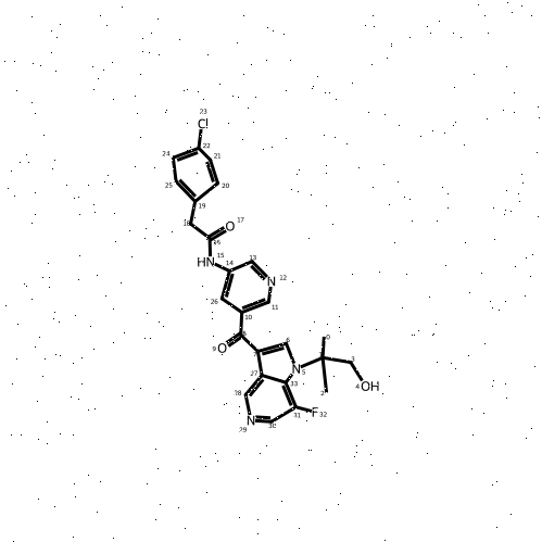 CC(C)(CO)n1cc(C(=O)c2cncc(NC(=O)Cc3ccc(Cl)cc3)c2)c2cncc(F)c21